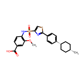 COc1cc(C(=O)O)ccc1NS(=O)(=O)c1csc(-c2ccc([C@H]3CC[C@@H](C)CC3)cc2)n1